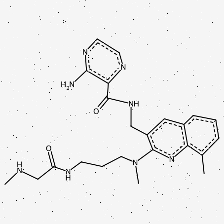 CNCC(=O)NCCCN(C)c1nc2c(C)cccc2cc1CNC(=O)c1nccnc1N